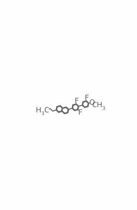 CCCc1ccc2cc(-c3cc(F)c(-c4ccc(OC)c(F)c4)c(F)c3)ccc2c1